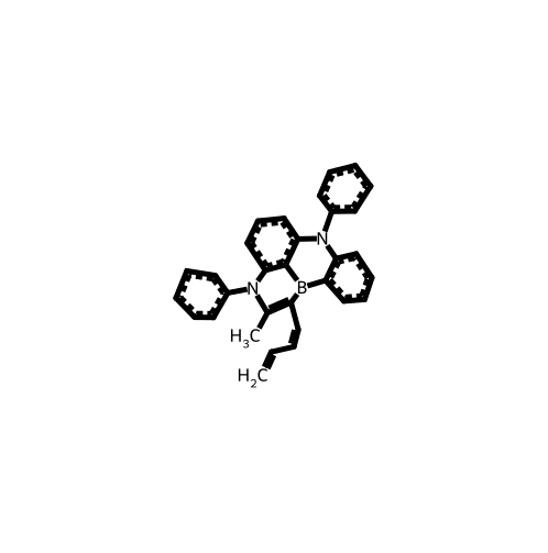 C=C/C=C\C1=C(C)N(c2ccccc2)c2cccc3c2B1c1ccccc1N3c1ccccc1